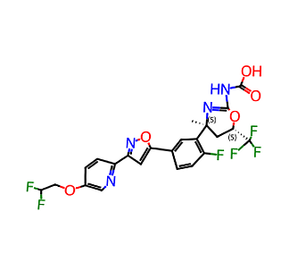 C[C@@]1(c2cc(-c3cc(-c4ccc(OCC(F)F)cn4)no3)ccc2F)C[C@@H](C(F)(F)F)OC(NC(=O)O)=N1